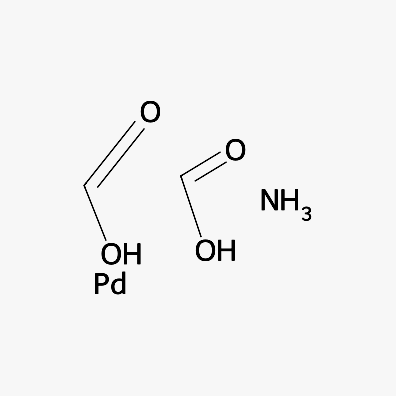 N.O=CO.O=CO.[Pd]